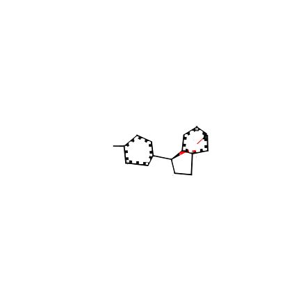 O=C(O)c1ccc(C23CCc4cc(ccc42)O3)cc1